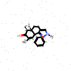 CC(=O)n1cc2c(n1)[C@@]1(c3ccccc3)C=C(C#N)C(=O)[C@@H](C)[C@@H]1CC2